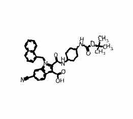 CC(C)(C)OC(=O)NC1CCC(NC(=O)c2c(C(=O)O)c3ccc(C#N)cc3n2Cc2cccc3ccccc23)CC1